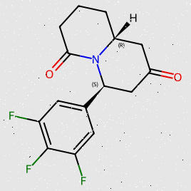 O=C1C[C@H]2CCCC(=O)N2[C@H](c2cc(F)c(F)c(F)c2)C1